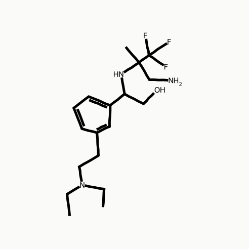 CCN(CC)CCc1cccc(C(CO)NC(C)(CN)C(F)(F)F)c1